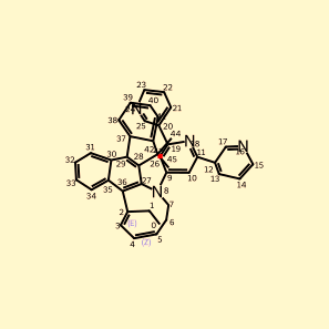 CC/C1=C\C=C/CCN(c2cc(-c3cccnc3)nc(-c3cccnc3)c2)c2c3c(c4ccccc4c21)-c1ccccc1C3(C)C